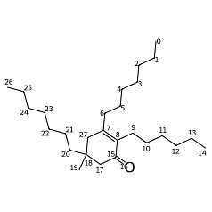 CCCCCCCC1=C(CCCCCC)C(=O)CC(C)(CCCCCCC)C1